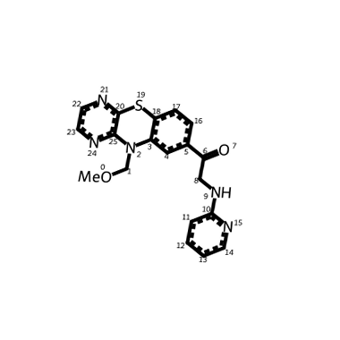 COCN1c2cc(C(=O)CNc3ccccn3)ccc2Sc2nccnc21